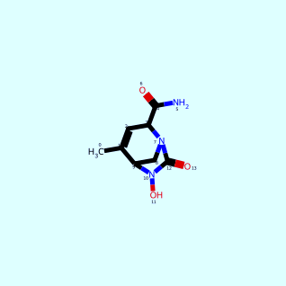 CC1=CC(C(N)=O)N2CC1N(O)C2=O